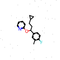 Cc1cc(C(CCC2CC2)Oc2ccccn2)ccc1F